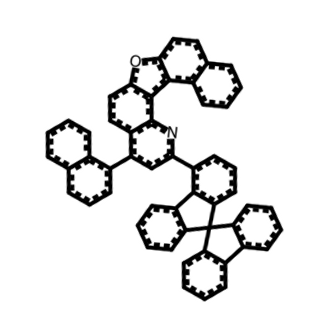 c1ccc2c(c1)-c1ccccc1C21c2ccccc2-c2c(-c3cc(-c4cccc5ccccc45)c4ccc5oc6ccc7ccccc7c6c5c4n3)cccc21